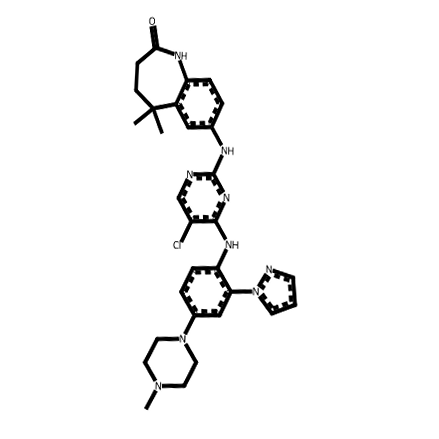 CN1CCN(c2ccc(Nc3nc(Nc4ccc5c(c4)C(C)(C)CCC(=O)N5)ncc3Cl)c(-n3cccn3)c2)CC1